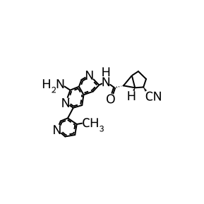 Cc1ccncc1-c1cc2cc(NC(=O)[C@@H]3C4CC[C@@H](C#N)[C@@H]43)ncc2c(N)n1